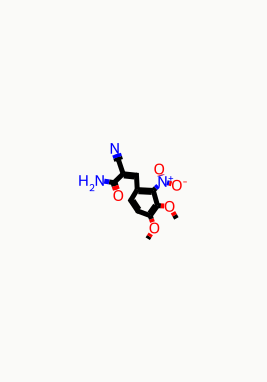 COc1ccc(C=C(C#N)C(N)=O)c([N+](=O)[O-])c1OC